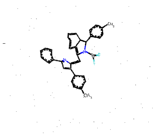 Cc1ccc(C2=CC(c3ccccc3)=N/C2=C\C2=C3C=CC=CC3C(c3ccc(C)cc3)N2B(F)F)cc1